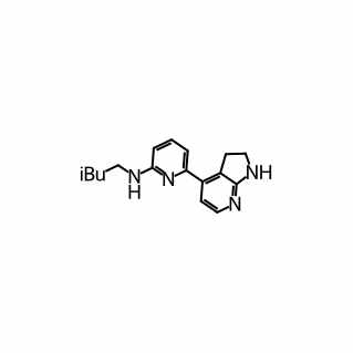 CCC(C)CNc1cccc(-c2ccnc3c2CCN3)n1